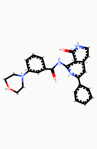 O=C(Nc1nc(-c2ccccc2)cc2cc[nH]c(=O)c12)c1cccc(N2CCOCC2)c1